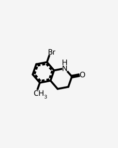 Cc1ccc(Br)c2c1CCC(=O)N2